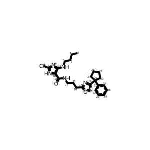 CCCCNc1nc(Cl)[nH]c1C(=O)NCCCc1nc(C2(c3ccccc3)CCCC2)no1